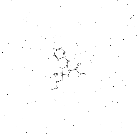 COOC[C@]1(N)C[C@H](C(=O)OC)N(Cc2ccccc2)C1